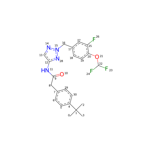 CC(C)(C)c1ccc(CC(=O)Nc2cnn(Cc3ccc(OC(F)F)c(F)c3)n2)cc1